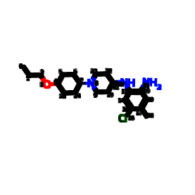 CCCO[C@H]1CC[C@H](N2CCC(Nc3cc(Cl)c(C)cc3N)CC2)CC1